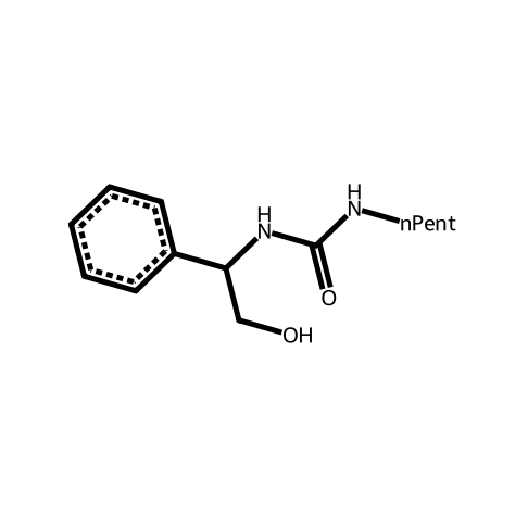 CCCCCNC(=O)NC(CO)c1ccccc1